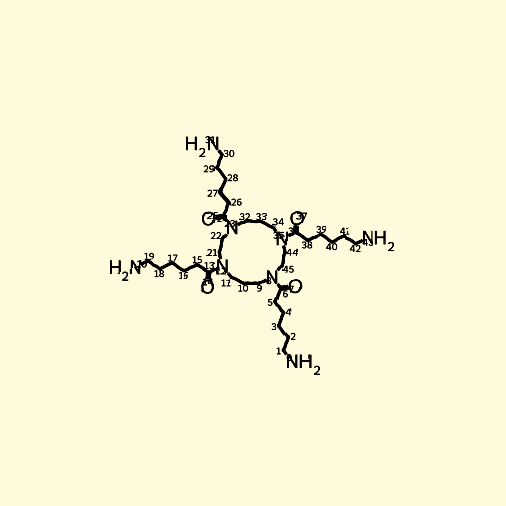 NCCCCCC(=O)N1CCCN(C(=O)CCCCCN)CCN(C(=O)CCCCCN)CCCN(C(=O)CCCCCN)CC1